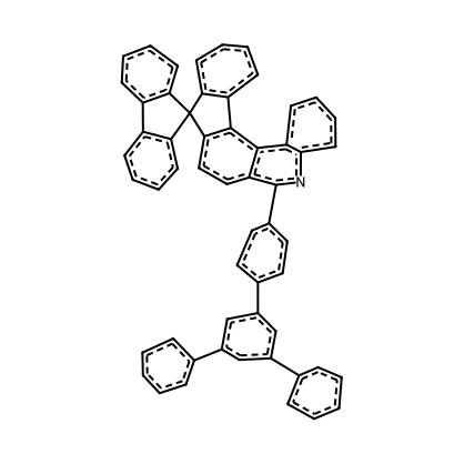 c1ccc(-c2cc(-c3ccccc3)cc(-c3ccc(-c4nc5ccccc5c5c6c(ccc45)C4(c5ccccc5-c5ccccc54)c4ccccc4-6)cc3)c2)cc1